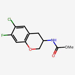 COC(=O)NC1COc2cc(F)c(Cl)cc2C1